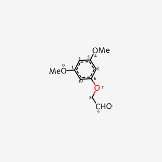 COc1cc(OC)cc(OC[C]=O)c1